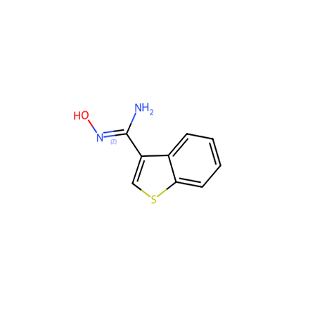 N/C(=N\O)c1csc2ccccc12